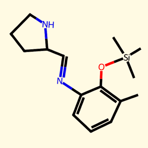 Cc1cccc(N=CC2CCCN2)c1O[Si](C)(C)C